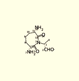 C[C@H]([C]=O)N1C(=O)[C@H](N)CCC[C@H](N)C1=O